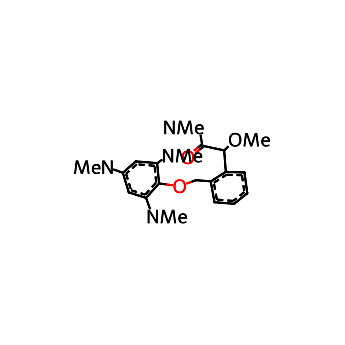 CNC(=O)C(OC)c1ccccc1COc1c(NC)cc(NC)cc1NC